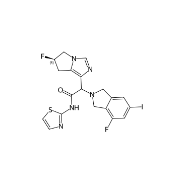 O=C(Nc1nccs1)C(c1ncn2c1C[C@@H](F)C2)N1Cc2cc(I)cc(F)c2C1